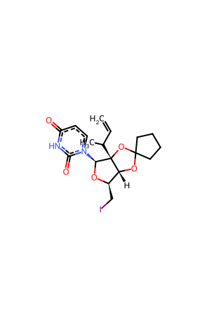 C=CC(C)[C@@]12OC3(CCCC3)O[C@@H]1[C@@H](CI)O[C@H]2n1ccc(=O)[nH]c1=O